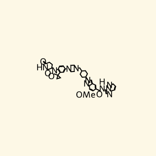 COc1cc2nn(C3CCC(CN4CCN(c5ccc6c(c5)C5(CC5)C(=O)N6C5CCC(=O)NC5=O)CC4)CC3)cc2cc1C(=O)Nc1cnc2cccnn12